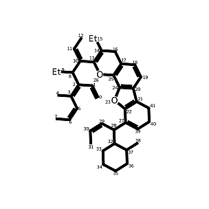 C=C/C(=C(C)\C=C/C)C(CC)/C(=C/C)C1=C(CC)Cc2ccc3c4c(oc3c2O1)C(C(/C=C\C)C1CCCCC1C)=CCC4